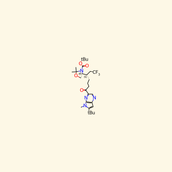 Cn1c(C(C)(C)C)cc2ncc(C(=O)CCC[C@@H](CC(F)(F)F)[C@@H]3COC(C)(C)N3C(=O)OC(C)(C)C)nc21